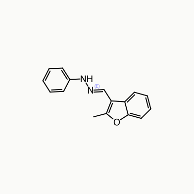 Cc1oc2ccccc2c1/C=N/Nc1ccccc1